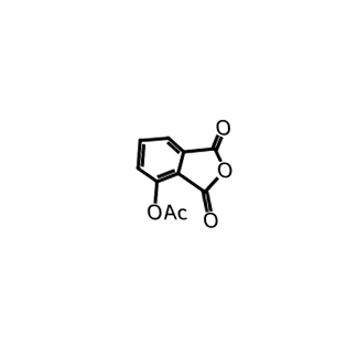 CC(=O)Oc1cccc2c1C(=O)OC2=O